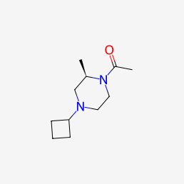 CC(=O)N1CCN(C2CCC2)C[C@H]1C